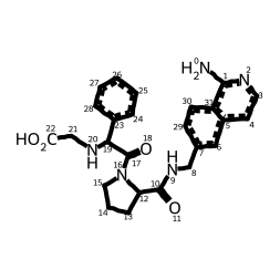 Nc1nccc2cc(CNC(=O)C3CCCN3C(=O)C(NCC(=O)O)c3ccccc3)ccc12